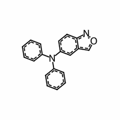 c1ccc(N(c2ccccc2)c2ccc3nocc3c2)cc1